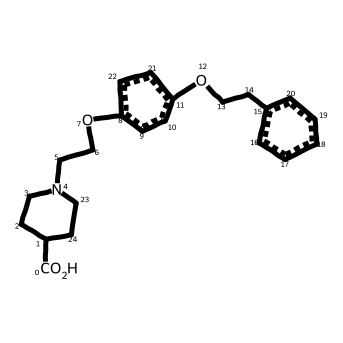 O=C(O)C1CCN(CCOc2ccc(OCCc3ccccc3)cc2)CC1